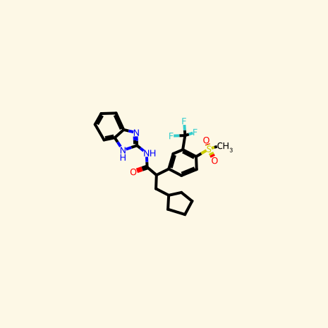 CS(=O)(=O)c1ccc(C(CC2CCCC2)C(=O)Nc2nc3ccccc3[nH]2)cc1C(F)(F)F